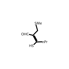 CCCC(S)=C(C=O)CSC